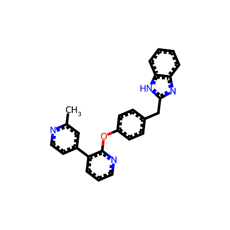 Cc1cc(-c2cccnc2Oc2ccc(Cc3nc4ccccc4[nH]3)cc2)ccn1